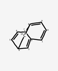 C1=CC2=CC3C=CN2C(=C1)C3